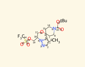 Cc1cnn2c1C1(CCN(C(=O)OC(C)(C)C)CC1)OCC2COS(=O)(=O)C(F)(F)F